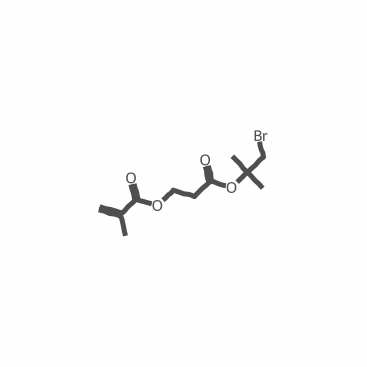 C=C(C)C(=O)OCCC(=O)OC(C)(C)CBr